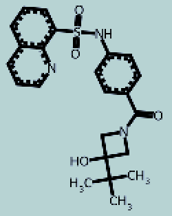 CC(C)(C)C1(O)CN(C(=O)c2ccc(NS(=O)(=O)c3cccc4cccnc34)cc2)C1